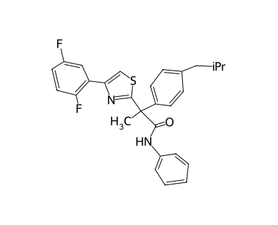 CC(C)Cc1ccc(C(C)(C(=O)Nc2ccccc2)c2nc(-c3cc(F)ccc3F)cs2)cc1